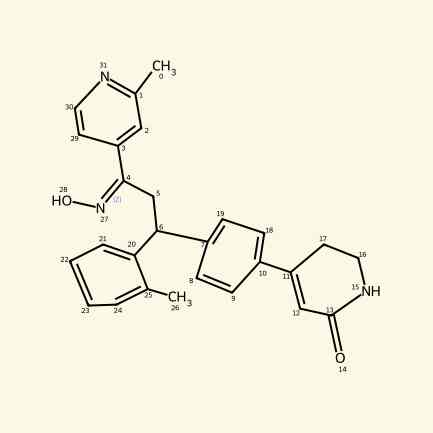 Cc1cc(/C(CC(c2ccc(C3=CC(=O)NCC3)cc2)c2ccccc2C)=N\O)ccn1